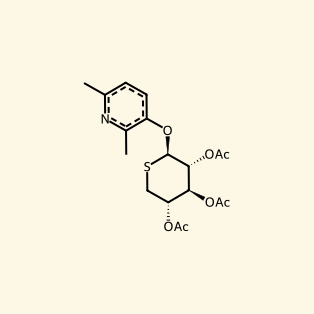 CC(=O)O[C@@H]1[C@@H](OC(C)=O)[C@H](OC(C)=O)CS[C@H]1Oc1ccc(C)nc1C